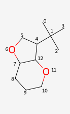 CC(C)(C)C1COC2CCCOC21